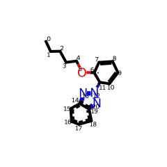 CCCCCO[C]1C=CC=CC1n1nc2ccccc2n1